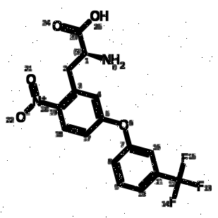 N[C@@H](Cc1cc(Oc2cccc(C(F)(F)F)c2)ccc1[N+](=O)[O-])C(=O)O